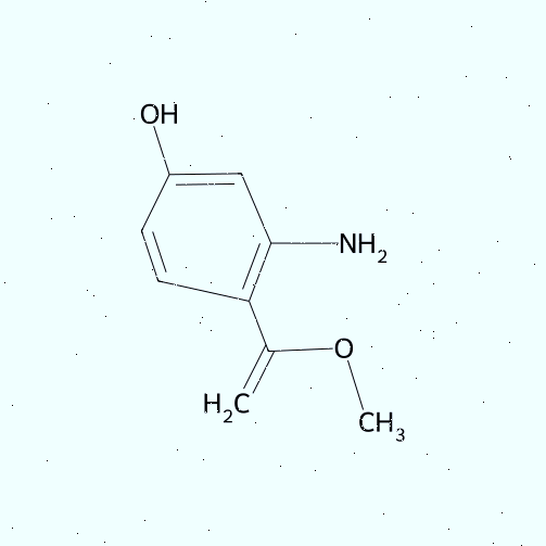 C=C(OC)c1ccc(O)cc1N